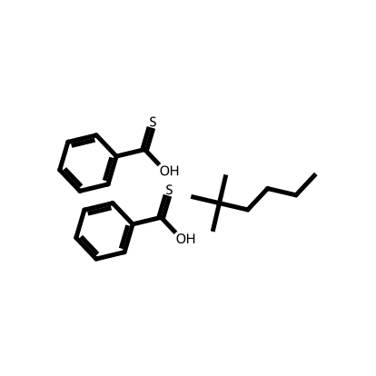 CCCCC(C)(C)C.OC(=S)c1ccccc1.OC(=S)c1ccccc1